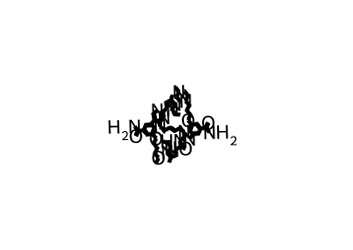 CCn1nc(C)cc1C(=O)Nc1nc2cc(C(N)=O)cc(OCCCN3CCN(C)CC3)c2n1CC=CCn1c2nc(-c3cc(C)nn3CC)ncc2c2cc(C(N)=O)cc(OCCCOC)c21